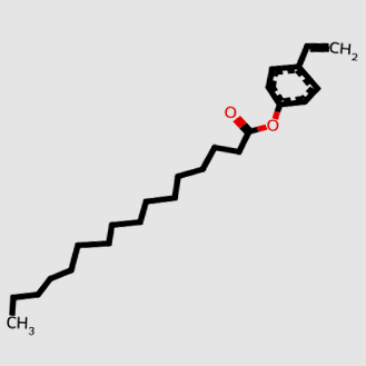 C=Cc1ccc(OC(=O)CCCCCCCCCCCCCCC)cc1